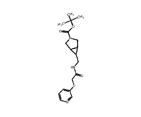 CC(C)(C)OC(=O)N1CC2C(CNC(=O)COc3cccnc3)C2C1